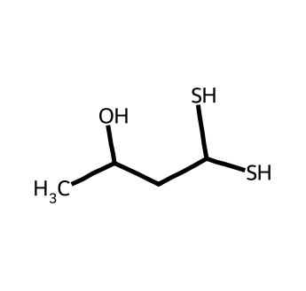 CC(O)CC(S)S